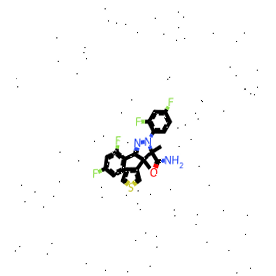 CC1(c2ccsc2)C(c2ccc(F)cc2F)=NN(c2ccc(F)cc2F)C1(C)C(N)=O